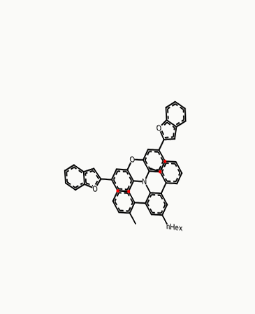 CCCCCCc1cc(-c2ccccc2C)c(N2c3ccc(-c4cc5ccccc5o4)cc3Oc3cc(-c4cc5ccccc5o4)ccc32)c(-c2ccccc2C)c1